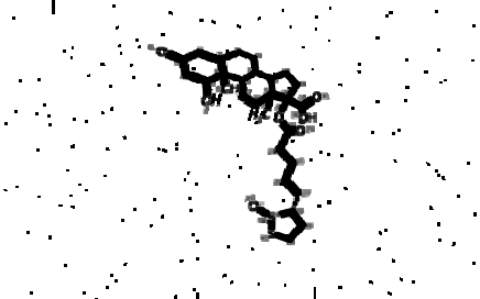 CC12C(O)=CC(=O)C=C1CCC1C2CCC2(C)C1CCC2(OC(=O)CCCC[C@@H]1CCS[S+]1[O-])C(=O)O